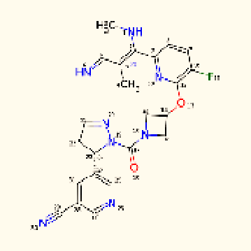 CN/C(=C(/C)C=N)c1ccc(F)c(OC2CN(C(=O)N3N=CC[C@H]3c3cncc(C#N)c3)C2)n1